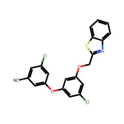 N#Cc1cc(Cl)cc(Oc2cc(Cl)cc(OCc3nc4ccccc4s3)c2)c1